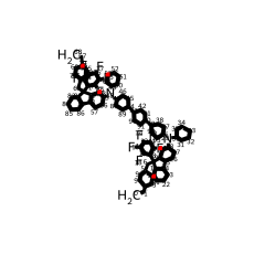 C=Cc1ccc(CC2(c3c(F)c(F)c(F)c(F)c3F)c3ccccc3-c3ccc(N(c4ccccc4)c4ccc(-c5ccc(-c6ccc(N(c7ccccc7)c7ccc8c(c7)C(Cc7ccc(C=C)cc7)(c7c(F)c(F)c(F)c(F)c7F)c7ccccc7-8)cc6)cc5)cc4)cc32)cc1